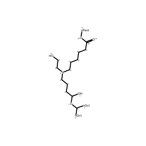 CCCCCCCCC(CCCCCCCC)OC(O)CCCN(CCO)CCCCCC(=O)OCCCCC